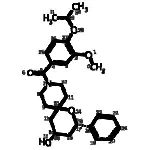 COc1cc(C(=O)N2CCC3(CC2)C[C@H](O)C[C@@H](c2ccccc2)O3)ccc1OC(C)C